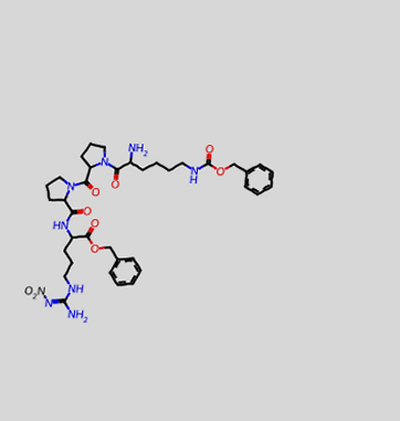 N/C(=N/[N+](=O)[O-])NCCCC(NC(=O)C1CCCN1C(=O)C1CCCN1C(=O)C(N)CCCCNC(=O)OCc1ccccc1)C(=O)OCc1ccccc1